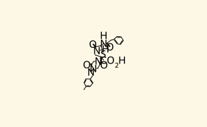 Cc1ccc(/C=N/N2CC(=O)N([C@]3(C(=O)O)CN4C(=O)[C@@H](NC(=O)Cc5ccccc5)[C@H]4S3)CC2=O)cc1